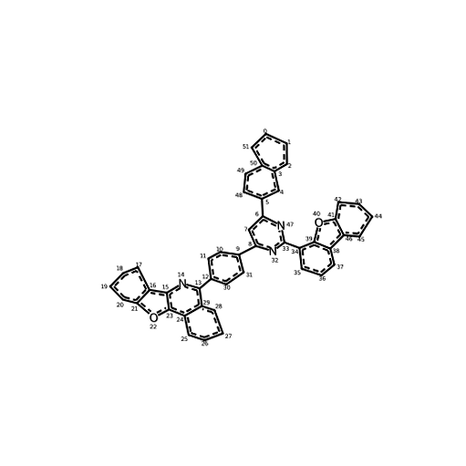 c1ccc2cc(-c3cc(-c4ccc(-c5nc6c7ccccc7oc6c6ccccc56)cc4)nc(-c4cccc5c4oc4ccccc45)n3)ccc2c1